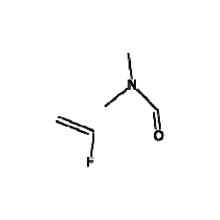 C=CF.CN(C)C=O